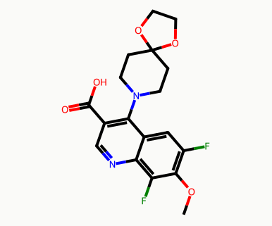 COc1c(F)cc2c(N3CCC4(CC3)OCCO4)c(C(=O)O)cnc2c1F